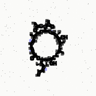 C=C/C=C\[C@H](C)[C@@H]1OC(=O)/C=C\C=C\[C@@H](C)[C@@H](OC(C)=O)C[C@H](OC(C)=O)/C=C\[C@H](C)[C@H](O)[C@@H](C)C[C@@H](C)CC[C@@H](O)[C@@H]1C